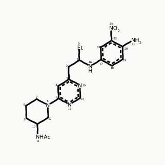 CCC(Cc1cc(N2CCCC(NC(C)=O)C2)ncn1)Nc1ccc(N)c([N+](=O)[O-])c1